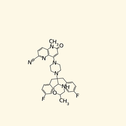 CC1CNC(C(Cc2ccc(F)cc2)(Cc2ccc(F)cc2)N2CCN(c3cc(=O)n(C)c4ccc(C#N)nc34)CC2)CO1